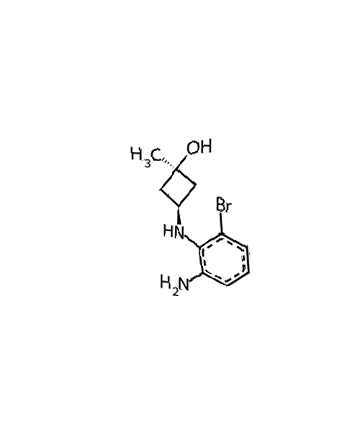 C[C@]1(O)C[C@@H](Nc2c(N)cccc2Br)C1